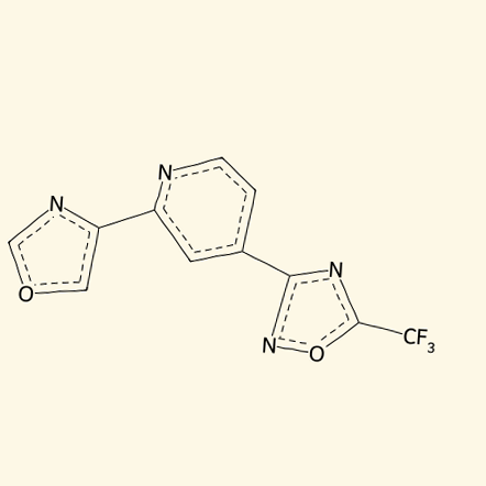 FC(F)(F)c1nc(-c2ccnc(-c3cocn3)c2)no1